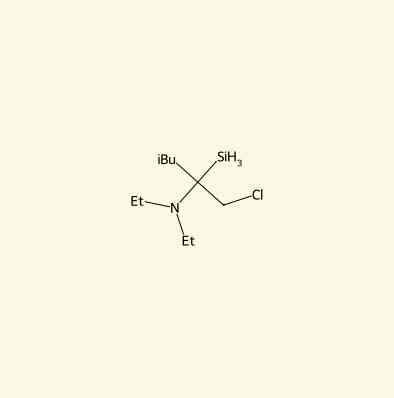 CCC(C)C([SiH3])(CCl)N(CC)CC